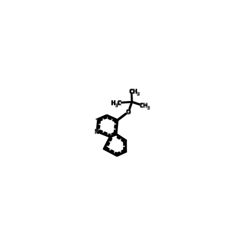 CC(C)(C)Oc1c[c]nc2ccccc12